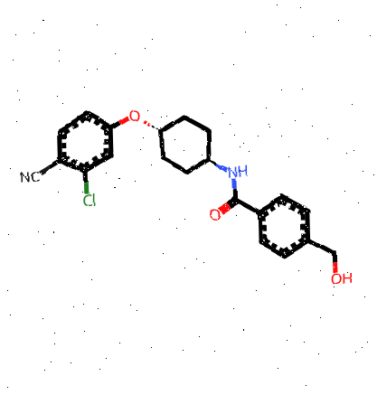 N#Cc1ccc(O[C@H]2CC[C@H](NC(=O)c3ccc(CO)cc3)CC2)cc1Cl